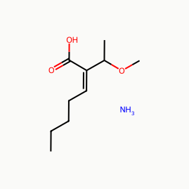 CCCCC=C(C(=O)O)C(C)OC.N